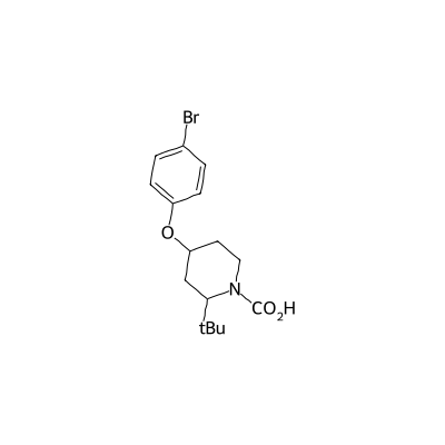 CC(C)(C)C1CC(Oc2ccc(Br)cc2)CCN1C(=O)O